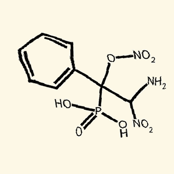 NC([N+](=O)[O-])C(O[N+](=O)[O-])(c1ccccc1)P(=O)(O)O